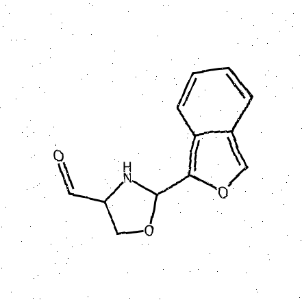 O=CC1COC(c2occ3ccccc23)N1